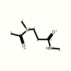 CNC(=O)CCN(C)C(C)=O